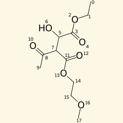 CCOC(=O)C(O)C(C(C)=O)C(=O)OCCOC